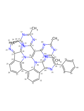 Cc1nc(C)nc(C(c2nc(C)nc(C)n2)=c2n3c4nccnc4c4cccc(c5cccc6c7nc(-c8ccccc8)cnc7n2c56)c43)n1